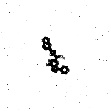 CC(c1nn2c(C3CCOCC3)ncc2c(=O)[nH]1)N1CC(c2ccc3c(c2)OCO3)C1